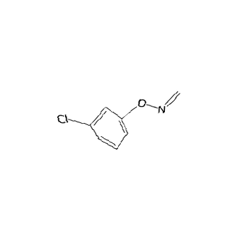 C=NOc1cccc(Cl)c1